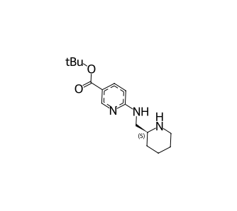 CC(C)(C)OC(=O)c1ccc(NC[C@@H]2CCCCN2)nc1